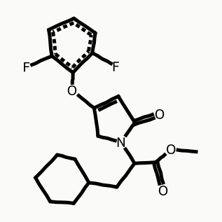 COC(=O)C(CC1CCCCC1)N1CC(Oc2c(F)cccc2F)=CC1=O